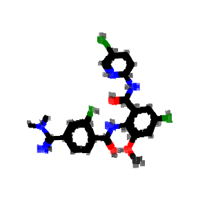 CN(C)C(=N)c1ccc(C(=O)Nc2c(OC(F)(F)F)cc(Cl)cc2C(=O)Nc2ccc(Cl)cn2)c(F)c1